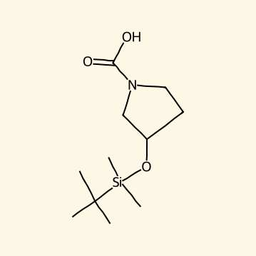 CC(C)(C)[Si](C)(C)OC1CCN(C(=O)O)C1